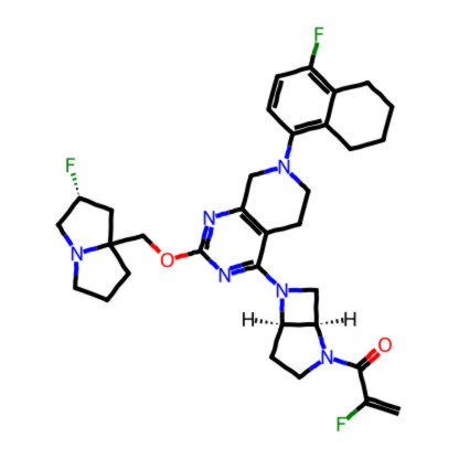 C=C(F)C(=O)N1CC[C@@H]2[C@H]1CN2c1nc(OCC23CCCN2C[C@H](F)C3)nc2c1CCN(c1ccc(F)c3c1CCCC3)C2